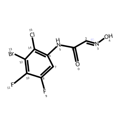 O=C(/C=N/O)Nc1cc(F)c(F)c(Br)c1Cl